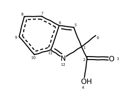 CC1(C(=O)O)C=c2ccccc2=N1